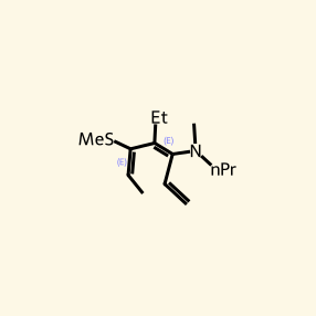 C=C/C(=C(CC)\C(=C/C)SC)N(C)CCC